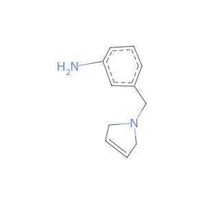 Nc1cccc(CN2CC=CC2)c1